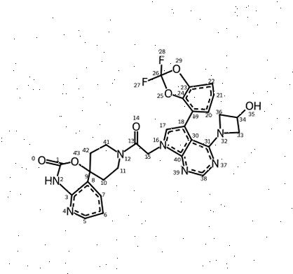 O=C1Nc2ncccc2C2(CCN(C(=O)Cn3cc(-c4cccc5c4OC(F)(F)O5)c4c(N5CC(O)C5)ncnc43)CC2)O1